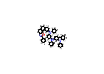 c1ccc(-c2nc3ccc4ccc5ccc(N(c6ccccc6)c6cccc(N(c7ccccc7)c7ccc8c9ccccc9n(-c9ccccc9)c8c7)c6)cc5c4c3o2)cc1